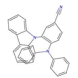 N#Cc1ccc(N(c2ccccc2)c2ccccc2)c(-n2c3ccccc3c3ccccc32)c1